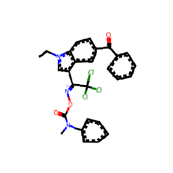 CCn1cc(/C(=N/OC(=O)N(C)c2ccccc2)C(Cl)(Cl)Cl)c2cc(C(=O)c3ccccc3)ccc21